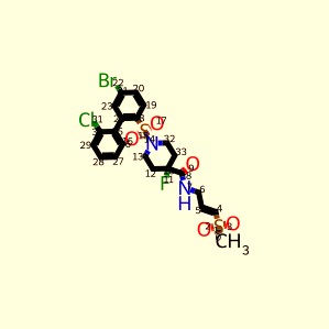 CS(=O)(=O)/C=C/CNC(=O)C1(F)CCN(S(=O)(=O)c2ccc(Br)cc2-c2ccccc2Cl)CC1